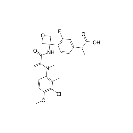 C=C(C(=O)NC1(c2ccc(C(C)C(=O)O)cc2F)COC1)N(C)c1ccc(OC)c(Cl)c1C